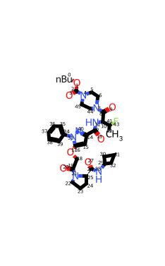 CCCCOC(=O)N1CCN(C(=O)C(NC(=O)c2cc(OCC(=O)N3CCC[C@H]3C(=O)NC3CCC3)n(-c3ccccc3)n2)C(C)F)CC1